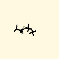 CC(Br)C(=S)OC(C)(C)CC(C)(C)C